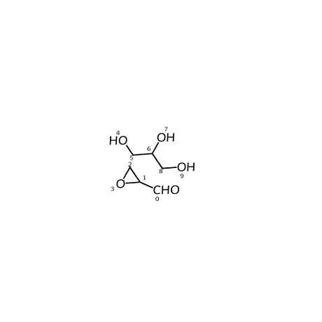 O=CC1CO1.OCC(O)CO